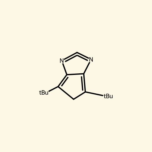 CC(C)(C)C1=C2N=C=NC2=C(C(C)(C)C)C1